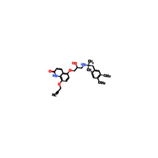 C#CCOc1ccc(OCC(O)CNC(C)(C)Cc2ccc(OC)c(OC)c2)c2ccc(=O)[nH]c12